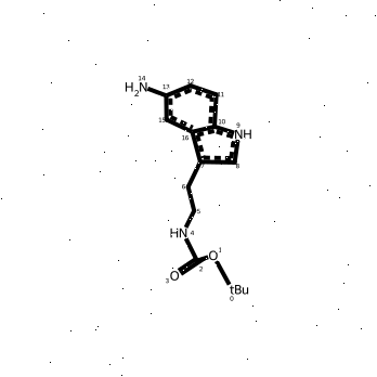 CC(C)(C)OC(=O)NCCc1c[nH]c2ccc(N)cc12